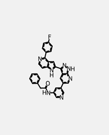 O=C(Cc1ccccc1)Nc1cncc(-c2cnc3[nH]nc(-c4cc5c(-c6ccc(F)cc6)nccc5[nH]4)c3c2)c1